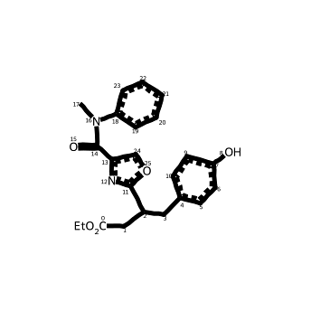 CCOC(=O)CC(Cc1ccc(O)cc1)c1nc(C(=O)N(C)c2ccccc2)co1